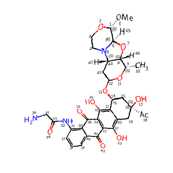 CO[C@H]1OCCN2[C@@H]1O[C@@H]1[C@H](C)OC(O[C@H]3C[C@](O)(C(C)=O)Cc4c(O)c5c(c(O)c43)C(=O)c3c(NC(=O)CN)cccc3C5=O)C[C@@H]12